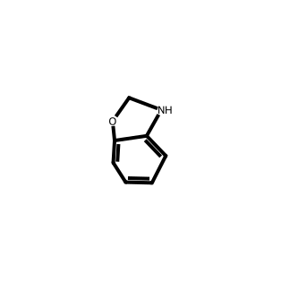 c1ccc2c(c1)NCO2